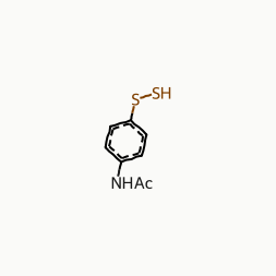 CC(=O)Nc1ccc(SS)cc1